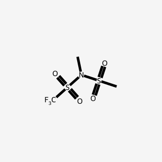 CN(S(C)(=O)=O)S(=O)(=O)C(F)(F)F